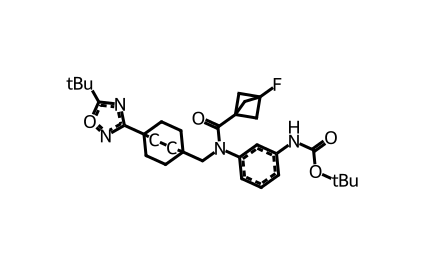 CC(C)(C)OC(=O)Nc1cccc(N(CC23CCC(c4noc(C(C)(C)C)n4)(CC2)CC3)C(=O)C23CC(F)(C2)C3)c1